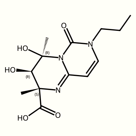 CCCN1C=CC2=N[C@](C)(C(=O)O)[C@@H](O)[C@@](C)(O)N2C1=O